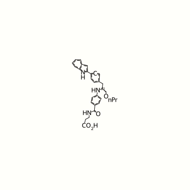 CCCOC[C@H](Cc1ccc(-c2cc3ccccc3[nH]2)cc1)Nc1ccc(C(=O)NCCC(=O)O)cc1